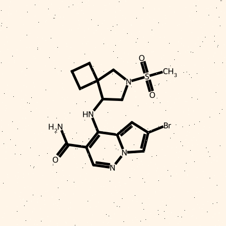 CS(=O)(=O)N1CC(Nc2c(C(N)=O)cnn3cc(Br)cc23)C2(CCC2)C1